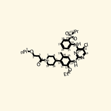 CCCOCCC(=O)N1CCC(c2cc(OCC)c(Nc3ncc(Cl)c(Nc4ccccc4S(=O)(=O)C(C)C)n3)cc2C)CC1